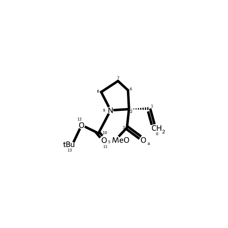 C=C[C@@]1(C(=O)OC)CCCN1C(=O)OC(C)(C)C